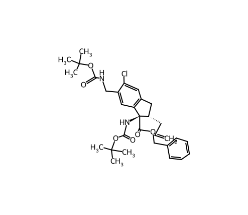 C=CC[C@H]1Cc2cc(Cl)c(CNC(=O)OC(C)(C)C)cc2[C@@]1(NC(=O)OC(C)(C)C)C(=O)OCc1ccccc1